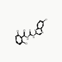 O=C(NC(=O)c1c(Cl)cccc1Cl)Nc1cnc2cc(Cl)ccc2n1